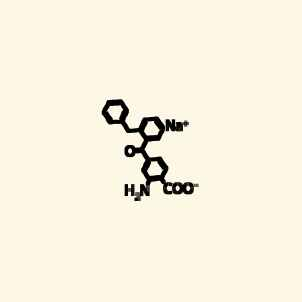 Nc1cc(C(=O)c2ccccc2Cc2ccccc2)ccc1C(=O)[O-].[Na+]